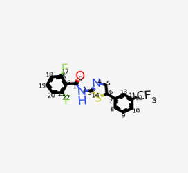 O=C(NC1=NCC(c2cccc(C(F)(F)F)c2)S1)c1c(F)cccc1F